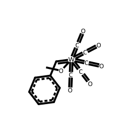 C[O][W](=[C]=O)(=[C]=O)(=[C]=O)(=[C]=O)(=[C]=O)=[CH]c1ccccc1